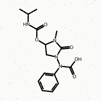 CC(C)NC(=O)OC1CN(N(C(=O)O)c2ccccc2)C(=O)N1C